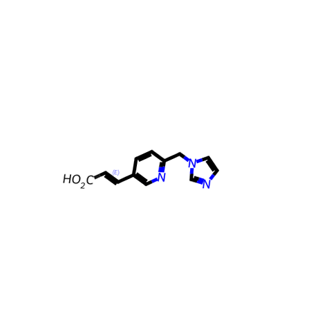 O=C(O)/C=C/c1ccc(Cn2ccnc2)nc1